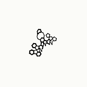 c1cc2cc(c1)CCc1cc(c3c4c5c(ncc4n4c6cnc7c(c6c1c34)C1(CCCC1)CC71CCCC1)C1(c3ccccc3-c3ccccc31)c1ccccc1-5)CC2